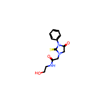 O=C(CN1CC(=O)N(c2ccccc2)C1=S)NCCO